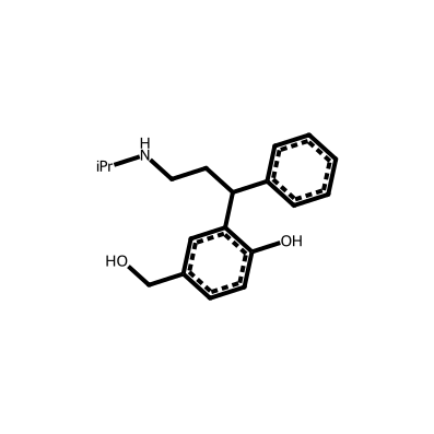 CC(C)NCCC(c1ccccc1)c1cc(CO)ccc1O